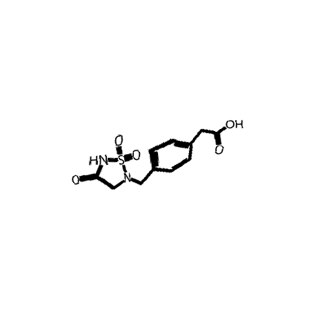 O=C(O)Cc1ccc(CN2CC(=O)NS2(=O)=O)cc1